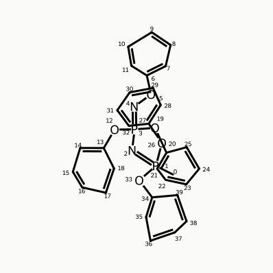 CP(=NP(=NOc1ccccc1)(Oc1ccccc1)Oc1ccccc1)(Oc1ccccc1)Oc1ccccc1